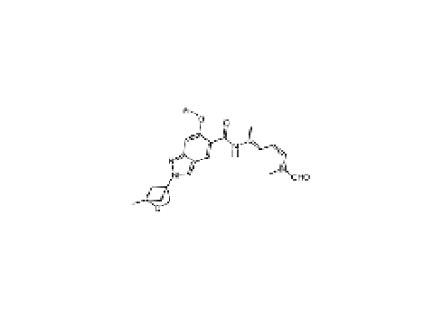 C/C(=C\C=C/N(C)C=O)NC(=O)c1cc2cn(C34COC(C)(C3)C4)nc2cc1OC(C)C